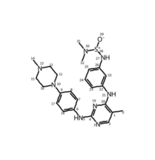 Cc1cnc(Nc2ccc(N3CCN(C)CC3)cc2)nc1Nc1cccc(N[S+]([O-])N(C)C)c1